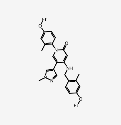 CCOc1ccc(CNc2cc(=O)n(-c3ccc(OCC)cc3C)cc2-c2cnn(C)c2)c(C)c1